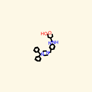 CCC(CC(=O)O)c1nc2cc(CN3CCN(C(c4ccccc4)c4ccccc4)CC3)ccc2[nH]1